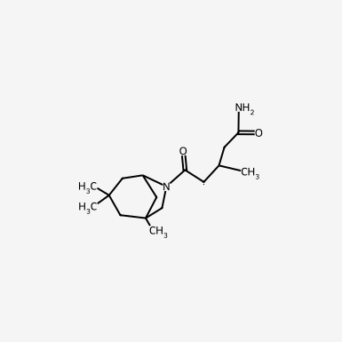 CC([CH]C(=O)N1CC2(C)CC1CC(C)(C)C2)CC(N)=O